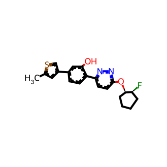 Cc1cc(-c2ccc(-c3ccc(O[C@@H]4CCCC[C@@H]4F)nn3)c(O)c2)cs1